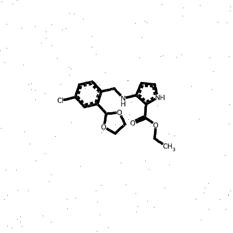 CCOC(=O)c1[nH]ccc1NCc1ccc(Cl)cc1C1OCCO1